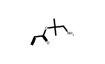 C=CC(=O)OC(C)(C)CN